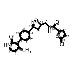 Cc1cc[nH]c(=O)c1-c1ccc(C2=NOC(CNC(=O)c3ccc(Cl)s3)C2)cc1